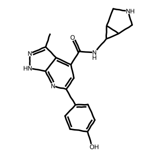 Cc1n[nH]c2nc(-c3ccc(O)cc3)cc(C(=O)NC3C4CNCC43)c12